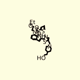 CCOCCN(c1cccc2cc(-c3ncc(CN4CCC(CCO)CC4)s3)[nH]c12)S(=O)(=O)c1cccs1